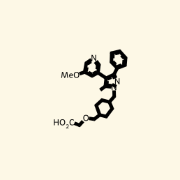 COc1cncc(-c2c(-c3ccccc3)nn(CC3CCC(COCC(=O)O)CC3)c2C)c1